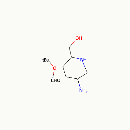 CC(C)(C)OC=O.NC1CCC(CO)NC1